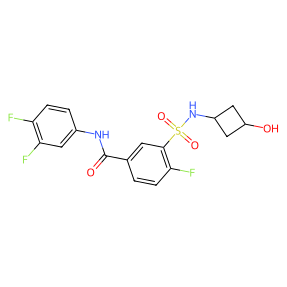 O=C(Nc1ccc(F)c(F)c1)c1ccc(F)c(S(=O)(=O)NC2CC(O)C2)c1